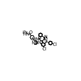 CC(C)NC(=O)C1CCN(c2ncccc2NC(=O)c2[nH]c3cc(Cl)cc4c3c2-c2c(-c3ccccc3)ncn2[C@@H]4c2ccc(Cl)cc2)CC1